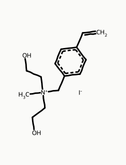 C=Cc1ccc(C[N+](C)(CCO)CCO)cc1.[I-]